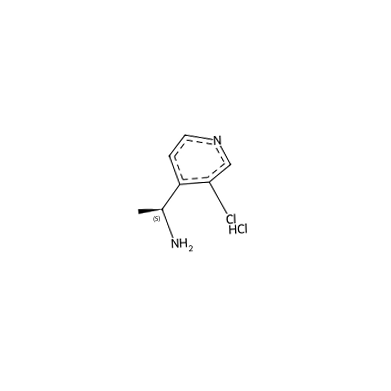 C[C@H](N)c1ccncc1Cl.Cl